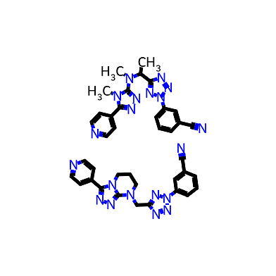 CC(c1nnn(-c2cccc(C#N)c2)n1)N(C)c1nnc(-c2ccncc2)n1C.N#Cc1cccc(-n2nnc(CN3CCCn4c(-c5ccncc5)nnc43)n2)c1